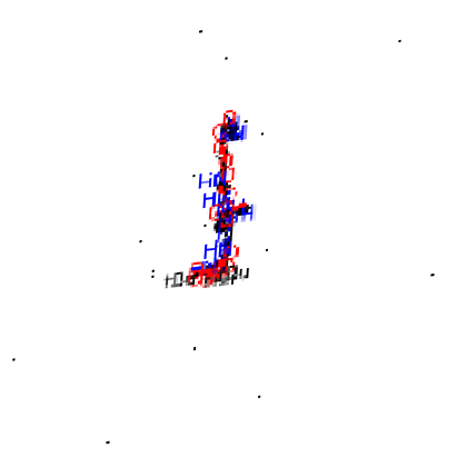 CN1C(=O)C[C@H](C(=O)NCCOC2CCC(OCCCC(=O)NC3CCC(C(=O)NCCNC(=O)[C@H](Cc4ccccc4)NC(=O)[C@H](Cc4ccccc4)NC(=O)CCCCCCCNC(=O)CC[C@H](NC(=O)N[C@@H](CCC(=O)OC(C)(C)C)C(=O)OC(C)(C)C)C(=O)OC(C)(C)C)CC3)CC2)[C@H]1c1cccnc1